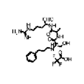 CC(NC(=O)[C@@H](CO)NCCCc1ccccc1)C(=O)NC(C=O)CCCNC(=N)N.O=C(O)C(F)(F)F